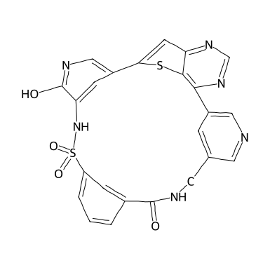 O=C1NCc2cncc(c2)-c2ncnc3cc(sc23)-c2cnc(O)c(c2)NS(=O)(=O)c2cccc1c2